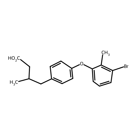 Cc1c(Br)cccc1Oc1ccc(CC(C)CC(=O)O)cc1